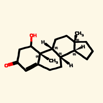 C[C@@]12CCC[C@H]1[C@@H]1CCC3=CC(=O)CC(O)[C@]3(C)[C@@H]1CC2